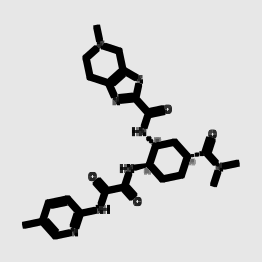 Cc1ccc(NC(=O)C(=O)N[C@@H]2CC[C@@H](C(=O)N(C)C)C[C@H]2NC(=O)c2nc3c(s2)CN(C)CC3)nc1